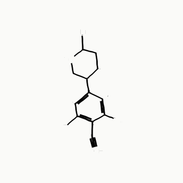 C#Cc1c(F)cc(C2CCC(CC)OC2)cc1F